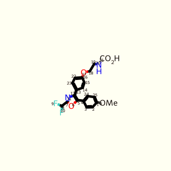 COc1ccc(-c2oc(C(F)F)nc2-c2ccc(OCCNC(=O)O)cc2)cc1